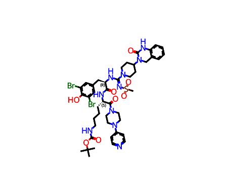 CC(C)(C)OC(=O)NCCCC[C@H](NC(=O)[C@@H](Cc1cc(Br)c(O)c(Br)c1)NC(=NS(C)(=O)=O)N1CCC(N2Cc3ccccc3NC2=O)CC1)C(=O)N1CCN(c2ccncc2)CC1